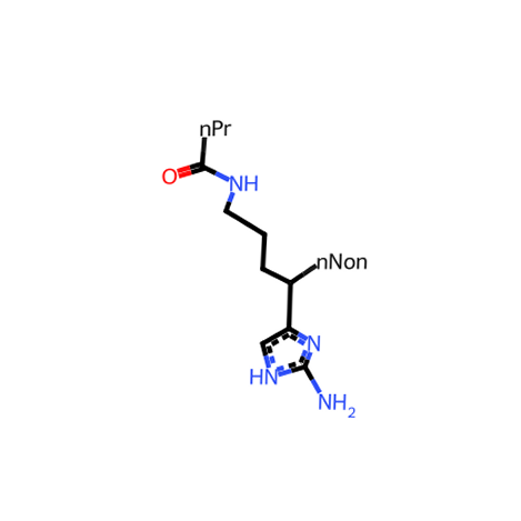 CCCCCCCCCC(CCCNC(=O)CCC)c1c[nH]c(N)n1